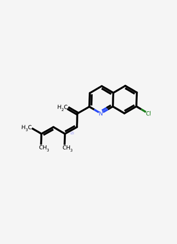 C=C(/C=C(/C)C=C(C)C)c1ccc2ccc(Cl)cc2n1